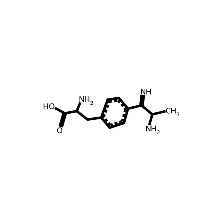 CC(N)C(=N)c1ccc(CC(N)C(=O)O)cc1